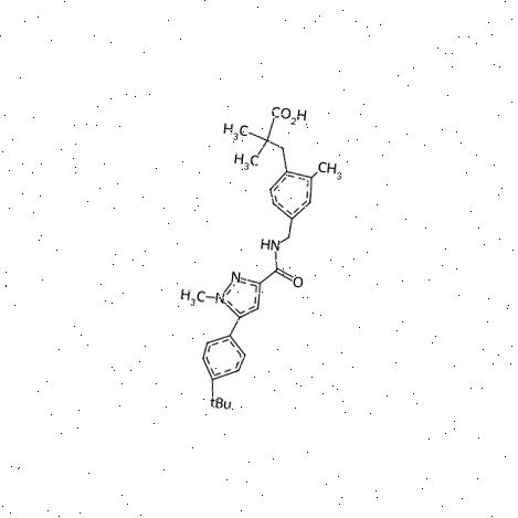 Cc1cc(CNC(=O)c2cc(-c3ccc(C(C)(C)C)cc3)n(C)n2)ccc1CC(C)(C)C(=O)O